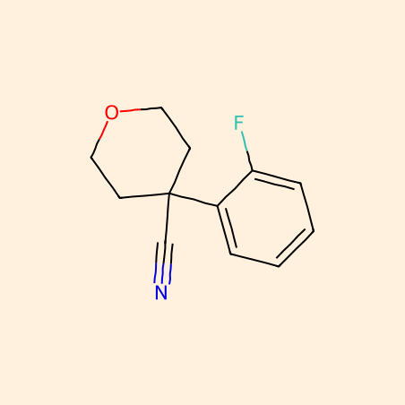 N#CC1(c2ccccc2F)CCOCC1